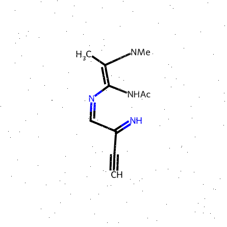 C#CC(=N)/C=N\C(NC(C)=O)=C(/C)NC